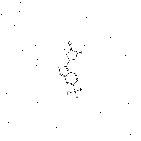 O=C1CC(c2occ3cc(C(F)(F)F)ccc23)CN1